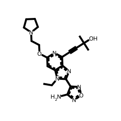 CCn1c(-c2nonc2N)nc2c(C#CC(C)(C)O)nc(OCCN3CCCC3)cc21